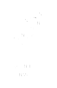 CNC(=O)Nc1ccc2c(c1)CCC21OC(=O)N(CC(=O)N2CCC[C@H]2c2nccn2C)C1=O